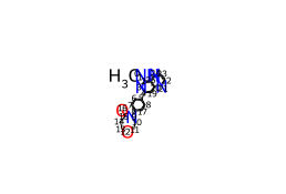 CNc1nc(-c2ccc(N3CCOCCC3=O)cc2)cc2nccnc12